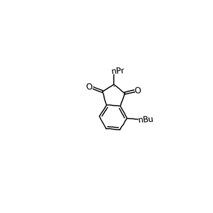 CCCCc1cccc2c1C(=O)[C](CCC)C2=O